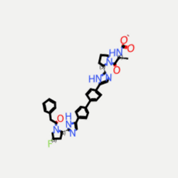 COC(=O)N[C@@H](C)C(=O)N1CCC[C@H]1c1ncc(-c2ccc(-c3ccc(-c4cnc([C@@H]5C[C@H](F)CN5C(=O)Cc5ccccc5)[nH]4)cc3)cc2)[nH]1